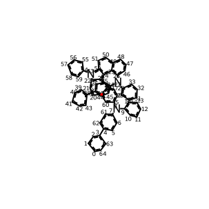 c1ccc(-c2ccc(N(c3ccccc3)c3ccc4c(ccc5c4c4c6c(N(c7ccccc7)c7ccc(-c8ccccc8)cc7)cccc6ccc4n5-c4ccccc4)c3)cc2)cc1